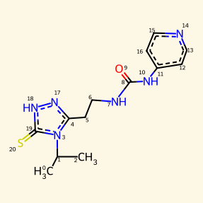 CC(C)n1c(CCNC(=O)Nc2ccncc2)n[nH]c1=S